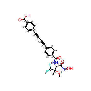 COC(C)(C(F)F)[C@H](NC(=O)c1ccc(C#CC#Cc2ccc(C(=O)O)cc2)cc1)C(=O)NO